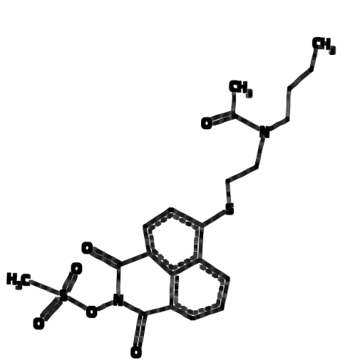 CCCCN(CCSc1ccc2c3c(cccc13)C(=O)N(OS(C)(=O)=O)C2=O)C(C)=O